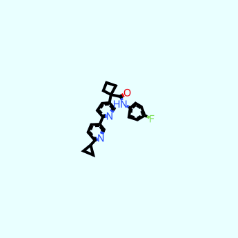 O=C(Nc1ccc(F)cc1)C1(c2ccc(-c3ccc(C4CC4)nc3)nc2)CCC1